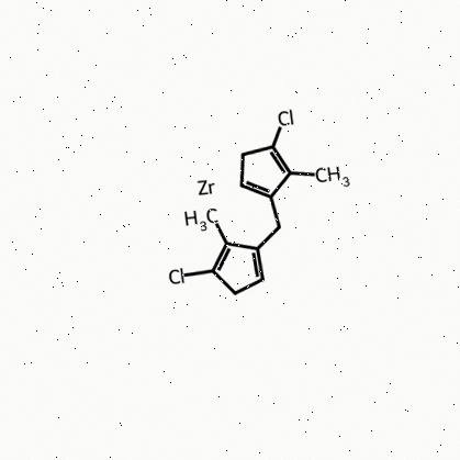 CC1=C(Cl)CC=C1CC1=CCC(Cl)=C1C.[Zr]